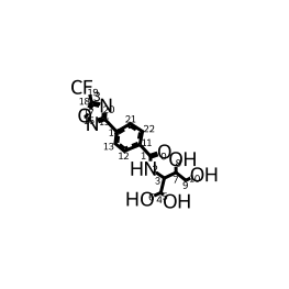 O=C(NC(C(O)O)C(O)CO)c1ccc(-c2noc(C(F)(F)F)n2)cc1